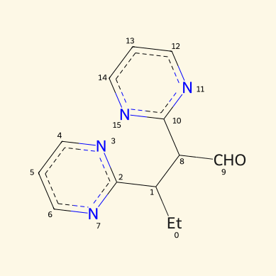 CCC(c1ncccn1)C(C=O)c1ncccn1